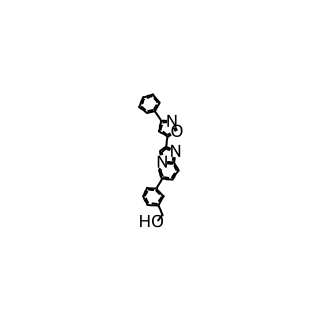 OCc1cccc(-c2ccc3nc(-c4cc(-c5ccccc5)no4)cn3c2)c1